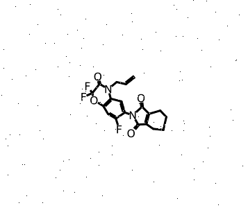 C=CCN1C(=O)C(F)(F)Oc2cc(F)c(N3C(=O)C4=C(CCCC4)C3=O)cc21